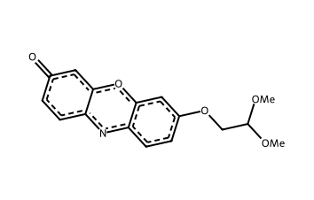 COC(COc1ccc2nc3ccc(=O)cc-3oc2c1)OC